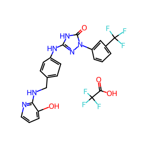 O=C(O)C(F)(F)F.O=c1[nH]c(Nc2ccc(CNc3ncccc3O)cc2)nn1-c1cccc(C(F)(F)F)c1